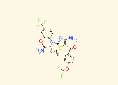 CC(C(N)=O)N(c1ccc(C(F)(F)F)cc1)c1nc(N)c(C(=O)c2ccc(OC(F)F)cc2)s1